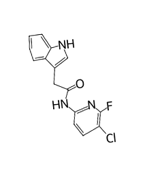 O=C(Cc1c[nH]c2ccccc12)Nc1ccc(Cl)c(F)n1